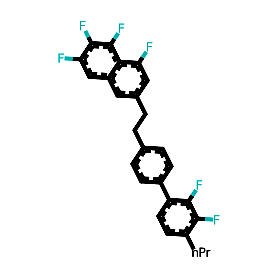 CCCc1ccc(-c2ccc(CCc3cc(F)c4c(F)c(F)c(F)cc4c3)cc2)c(F)c1F